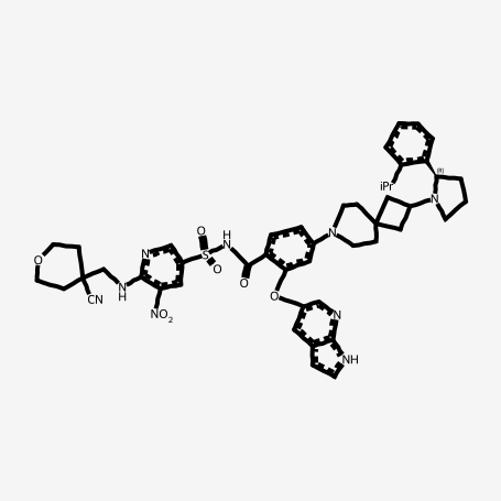 CC(C)c1ccccc1[C@H]1CCCN1C1CC2(CCN(c3ccc(C(=O)NS(=O)(=O)c4cnc(NCC5(C#N)CCOCC5)c([N+](=O)[O-])c4)c(Oc4cnc5[nH]ccc5c4)c3)CC2)C1